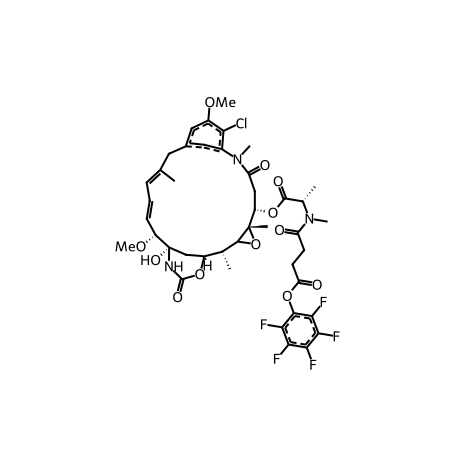 COc1cc2cc(c1Cl)N(C)C(=O)C[C@H](OC(=O)[C@H](C)N(C)C(=O)CCC(=O)Oc1c(F)c(F)c(F)c(F)c1F)[C@]1(C)OC1[C@H](C)[C@@H]1C[C@@](O)(NC(=O)O1)[C@H](OC)/C=C/C=C(\C)C2